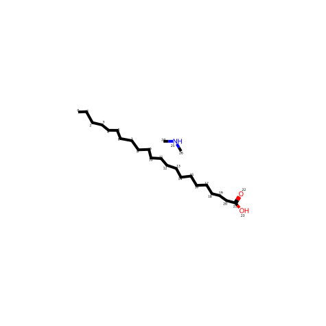 CCCCCCCCCCCCCCCCCCCCCC(=O)O.CNC